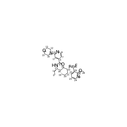 CC[C@@H](NC(=O)c1ccnc(N2CCOCC2)c1)[C@H]1CC[C@@H](c2ccnc(OC)c2C(F)F)CC1